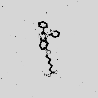 O=C(O)CCCCCOc1ccc2nc(-c3ccccc3)n(-c3ccccn3)c2c1